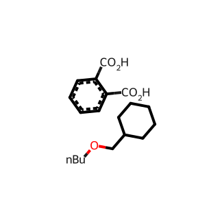 CCCCOCC1CCCCC1.O=C(O)c1ccccc1C(=O)O